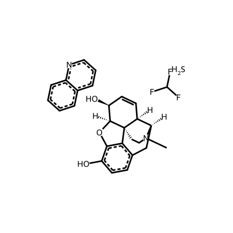 CN1CC[C@]23c4c5ccc(O)c4O[C@H]2[C@@H](O)C=C[C@H]3[C@H]1C5.FC(F)F.S.c1ccc2ncccc2c1